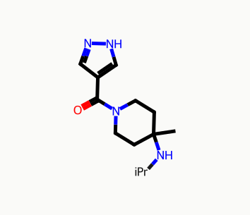 CC(C)NC1(C)CCN(C(=O)c2cn[nH]c2)CC1